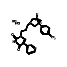 Cl.Cl.O=c1[nH]c(=O)n(CCCN2C[C@@H]3C[C@]3(c3ccc(C(F)(F)F)cc3)C2)cc1-c1cccnc1